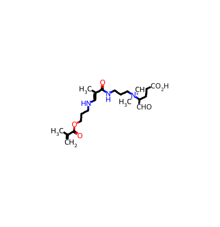 C=C(C)C(=O)OCCCNC=C(C)C(=O)NCCC[N+](C)(C)C(C=O)CCC(=O)O